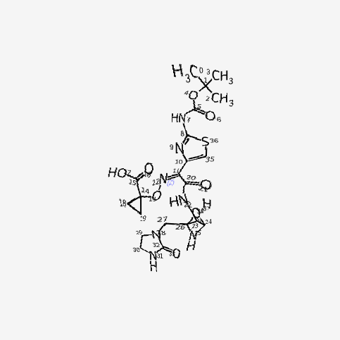 CC(C)(C)OC(=O)Nc1nc(/C(=N/OC2(C(=O)O)CC2)C(=O)N[C@H]2C3NC2(CN2CCNC2=O)O3)cs1